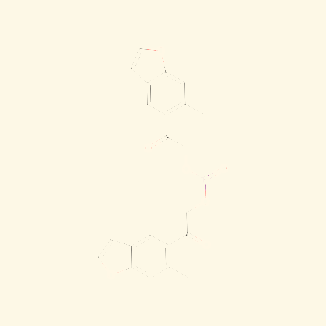 Cc1cc2occc2cc1C(=O)CO[PH](=O)OCC(=O)c1cc2ccoc2cc1C